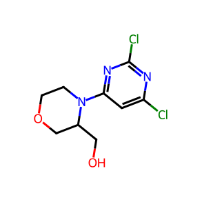 OCC1COCCN1c1cc(Cl)nc(Cl)n1